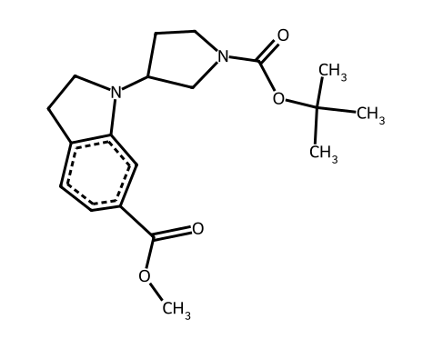 COC(=O)c1ccc2c(c1)N(C1CCN(C(=O)OC(C)(C)C)C1)CC2